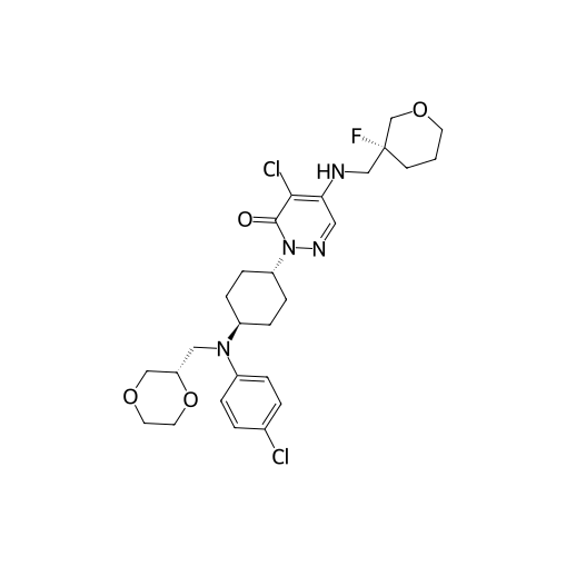 O=c1c(Cl)c(NC[C@]2(F)CCCOC2)cnn1[C@H]1CC[C@H](N(C[C@H]2COCCO2)c2ccc(Cl)cc2)CC1